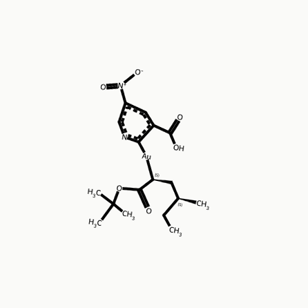 CC[C@H](C)C[C@H]([Au][c]1ncc([N+](=O)[O-])cc1C(=O)O)C(=O)OC(C)(C)C